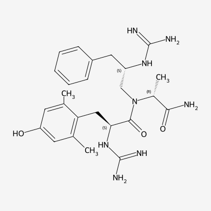 Cc1cc(O)cc(C)c1C[C@H](NC(=N)N)C(=O)N(C[C@H](Cc1ccccc1)NC(=N)N)[C@H](C)C(N)=O